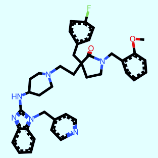 COc1ccccc1CN1CCC(CCN2CCC(Nc3nc4ccccc4n3Cc3ccncc3)CC2)(Cc2ccc(F)cc2)C1=O